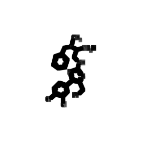 CC(C)Cc1sc(NCC(C(=O)O)N(C)Cc2ccccc2)nc1-c1ccc(Cl)c(Cl)c1